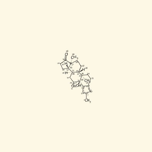 Cc1nc2c(s1)[C@]1(O)[C@@H](O)C[C@H]3[C@@H]4CCC(=O)[C@@]4(C)CC[C@@H]3[C@@]1(C)CC2